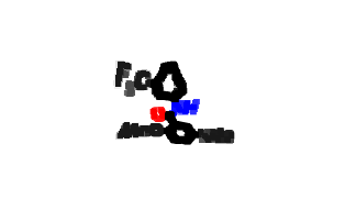 CNc1ccc(OC)c(C(=O)Nc2cccc(C(F)(F)F)c2)c1